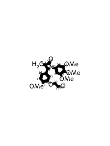 C=C1C(=O)N(c2cc(OC)c(OC)c(OC)c2)C1c1ccc(OC)c(OCCCl)c1